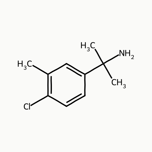 Cc1cc(C(C)(C)N)ccc1Cl